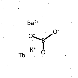 [Ba+2].[K+].[O-]B([O-])[O-].[Tb]